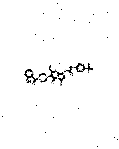 CCc1nc2n(CC(=O)Nc3ccc(C(F)(F)F)cc3)cc(Br)n2c(=O)c1N1CCN(C(=O)c2ncccc2O)CC1